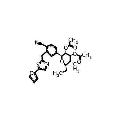 CC[C@H]1O[C@@H](c2ccc(C#N)c(Cc3ncc(-c4ccco4)s3)c2)[C@H](OC(C)=O)[C@@H](OC(C)=O)[C@@H]1C